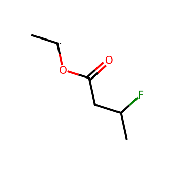 C[CH]OC(=O)CC(C)F